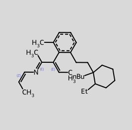 C\C=C/N=C(C)/C(=C/C)c1c(C)cccc1CCC1(CCCC)CCCCC1CC